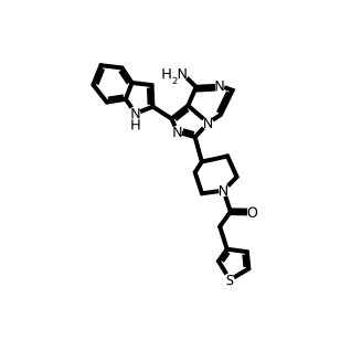 Nc1nccn2c(C3CCN(C(=O)Cc4ccsc4)CC3)nc(-c3cc4ccccc4[nH]3)c12